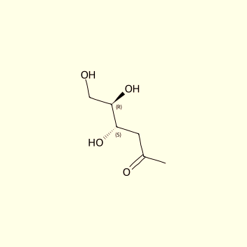 CC(=O)C[C@H](O)[C@H](O)CO